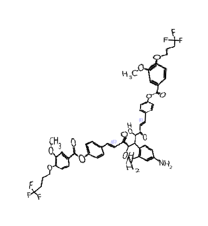 COc1cc(C(=O)Oc2ccc(/C=C/C(=O)C(O)C(c3ccc(N)cc3N)C(O)C(=O)/C=C/c3ccc(OC(=O)c4ccc(OCCCC(F)(F)F)c(OC)c4)cc3)cc2)ccc1OCCCC(F)(F)F